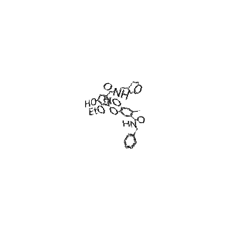 CCOc1c(O)cc(C(=O)NCC2CCOC2)cc1Oc1cc(C(=O)NCc2ccccc2)c(C)cc1O